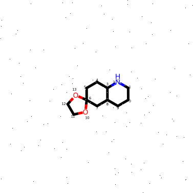 C1CNC2CCC3(CC2C1)OCCO3